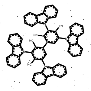 N#Cc1c(-c2cc(-n3c4ccccc4c4ccccc43)c(C#N)c(-n3c4ccccc4c4ccccc43)c2C#N)cc(-n2c3ccccc3c3ccccc32)c(C#N)c1-n1c2ccccc2c2ccccc21